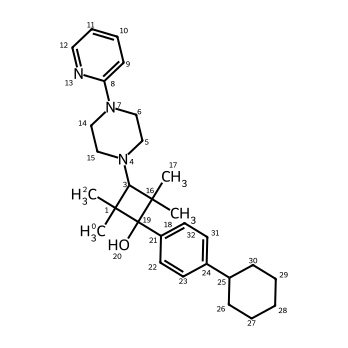 CC1(C)C(N2CCN(c3ccccn3)CC2)C(C)(C)C1(O)c1ccc(C2CCCCC2)cc1